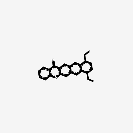 O=c1c2ccccc2sc2cc3cc4c(CI)ccc(CI)c4cc3cc12